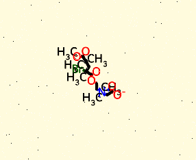 COC(=O)C(C)(C)CC(C)(Br)C(=O)OCC[N+](C)(C)CC(=O)[O-]